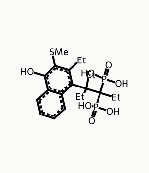 CCc1c(SC)c(O)c2ccccc2c1C(CC)(CC)C(CC)(P(=O)(O)O)P(=O)(O)O